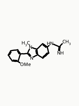 COc1ccccc1-c1nc2ccc(NC(C)=N)cc2n1C